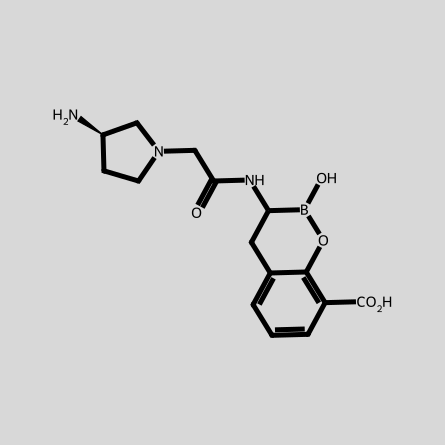 N[C@@H]1CCN(CC(=O)NC2Cc3cccc(C(=O)O)c3OB2O)C1